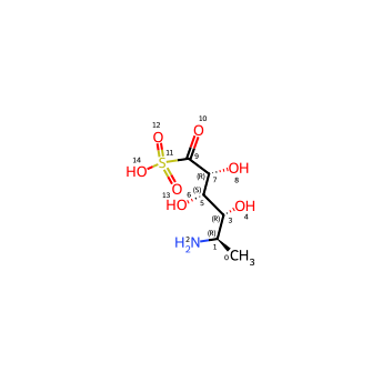 C[C@@H](N)[C@@H](O)[C@H](O)[C@@H](O)C(=O)S(=O)(=O)O